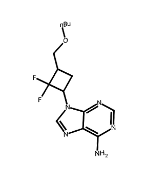 CCCCOCC1CC(n2cnc3c(N)ncnc32)C1(F)F